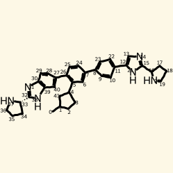 CC1CCC(c2cc(-c3ccc(-c4cnc(C5CCCN5)[nH]4)cc3)ccc2-c2ccc3nc([C@@H]4CCCN4)[nH]c3c2)C1